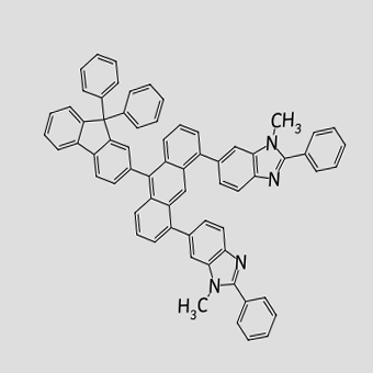 Cn1c(-c2ccccc2)nc2ccc(-c3cccc4c(-c5ccc6c(c5)C(c5ccccc5)(c5ccccc5)c5ccccc5-6)c5cccc(-c6ccc7nc(-c8ccccc8)n(C)c7c6)c5cc34)cc21